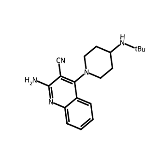 CC(C)(C)NC1CCN(c2c(C#N)c(N)nc3ccccc23)CC1